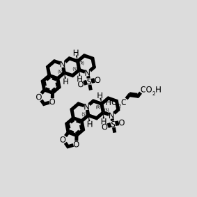 CS(=O)(=O)N1CCC[C@@H]2CN3CCc4cc5c(cc4[C@@H]3C[C@@H]21)OCO5.CS(=O)(=O)N1CCC[C@@H]2CN3CCc4cc5c(cc4[C@@H]3C[C@@H]21)OCO5.O=C(O)C=CC(=O)O